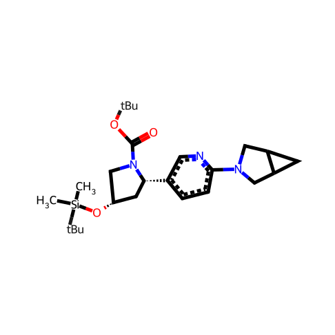 CC(C)(C)OC(=O)N1C[C@@H](O[Si](C)(C)C(C)(C)C)C[C@H]1c1ccc(N2CC3CC3C2)nc1